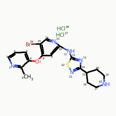 Cc1ncccc1Oc1cc(Nc2nc(C3CCNCC3)ns2)ncc1Br.Cl.Cl